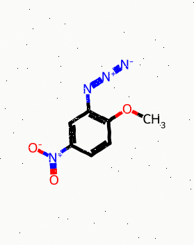 COc1ccc([N+](=O)[O-])cc1N=[N+]=[N-]